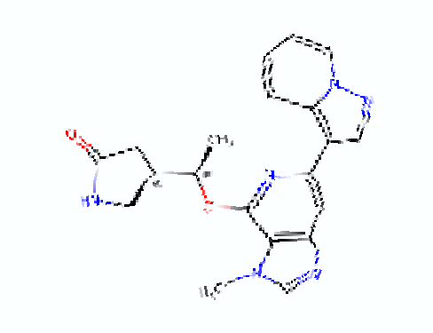 C[C@@H](Oc1nc(-c2cnn3ccccc23)cc2ncn(C)c12)[C@H]1CNC(=O)C1